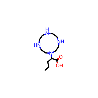 CCCC(C(=O)O)N1CCNCCNCCNCC1